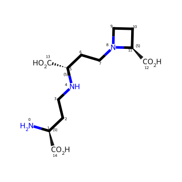 N[C@@H](CCN[C@@H](CCN1CC[C@H]1C(=O)O)C(=O)O)C(=O)O